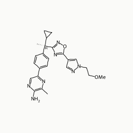 COCCn1cc(-c2nc([C@@](C)(c3ccc(-c4cnc(N)c(C)n4)cc3)C3CC3)no2)cn1